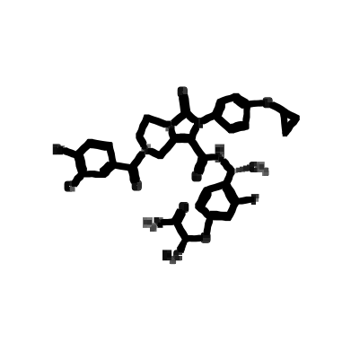 C[C@H](Oc1ccc([C@@H](C)NC(=O)c2c3n(c(=O)n2-c2ccc(OC4CC4)cc2)CCN(C(=O)c2ccc(Br)c(Cl)c2)C3)c(F)c1)C(N)=O